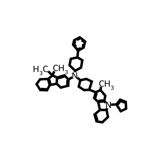 CC1CC2=C(C=C1C1CCC(N(C3=CCC4C(=C3)C(C)(C)C3=C4C=CCC3)C3CCC(c4ccccc4)CC3)CC1)C1C=CCCC1N2C1=C=CCC1